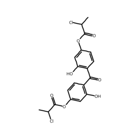 CC(Cl)C(=O)Oc1ccc(C(=O)c2ccc(OC(=O)C(C)Cl)cc2O)c(O)c1